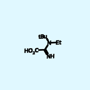 CCN(C(=N)C(=O)O)C(C)(C)C